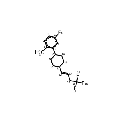 Cc1ccc(F)cc1C1CCC(/C=C/CC(F)(F)F)CC1